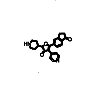 O=C1CCc2cc(C3=C(c4ccncc4)C(=O)C(C4CCNCC4)O3)ccc21